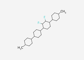 CC1CCC(C2CCC(C3CCC(C4CCC(C)CC4)C(F)C3F)CC2)CC1